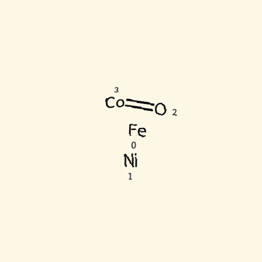 [Fe].[Ni].[O]=[Co]